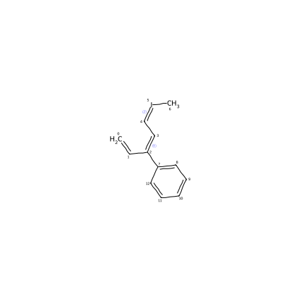 C=C/C(=C\C=I/C)c1ccccc1